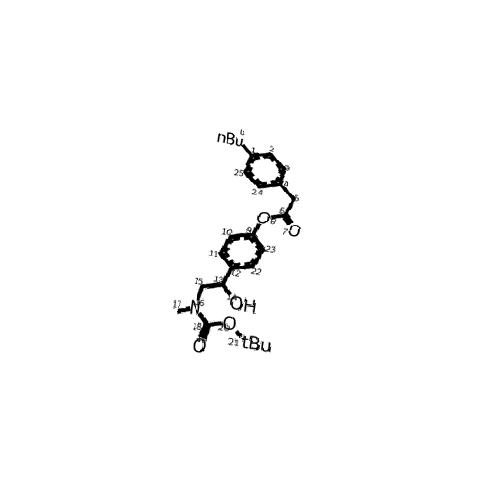 CCCCc1ccc(CC(=O)Oc2ccc(C(O)CN(C)C(=O)OC(C)(C)C)cc2)cc1